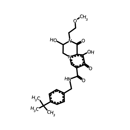 COCCN1C(=O)c2c(O)c(=O)c(C(=O)NCc3ccc(C(C)(C)C)cc3)cn2CC1O